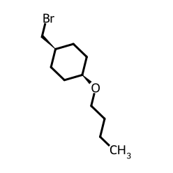 CCCCO[C@H]1CC[C@@H](CBr)CC1